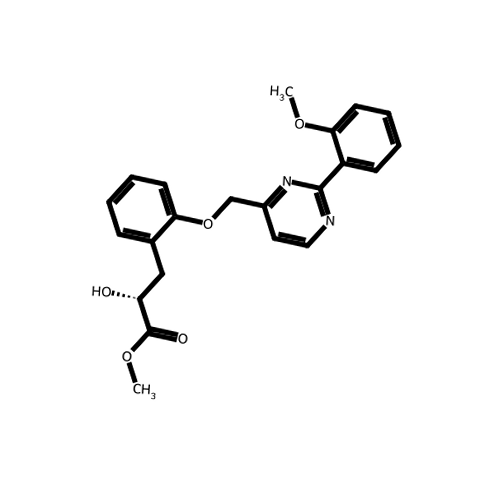 COC(=O)[C@H](O)Cc1ccccc1OCc1ccnc(-c2ccccc2OC)n1